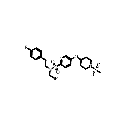 CC(C)CN(CCc1ccc(F)cc1)S(=O)(=O)c1ccc(OC2CCN(S(C)(=O)=O)CC2)cn1